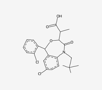 CC(C(=O)O)C1OC(c2ccccc2Cl)c2cc(Cl)ccc2N(CC(C)(C)C)C1=O